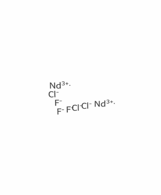 [Cl-].[Cl-].[Cl-].[F-].[F-].[F-].[Nd+3].[Nd+3]